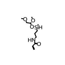 C=CC(=O)NCCC[SiH](C)OC(COC)OC